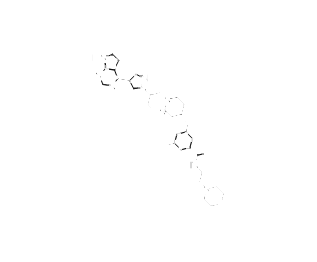 N#CCC(CN1CCC(Oc2cc(F)cc(C(=O)NCCN3CCOCC3)c2)CC1)n1cc(-c2ncnc3[nH]ccc23)cn1